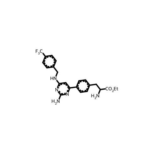 CCOC(=O)C(N)Cc1ccc(-c2cc(NCc3ccc(C(F)(F)F)cc3)nc(N)n2)cc1